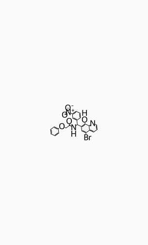 O=C(COc1ccccc1)NC(c1cccc([N+](=O)[O-])c1)c1cc(Br)c2cccnc2c1O